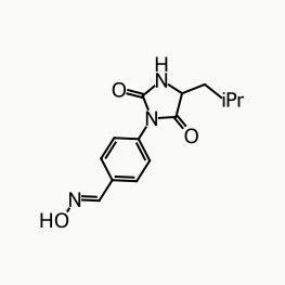 CC(C)CC1NC(=O)N(c2ccc(C=NO)cc2)C1=O